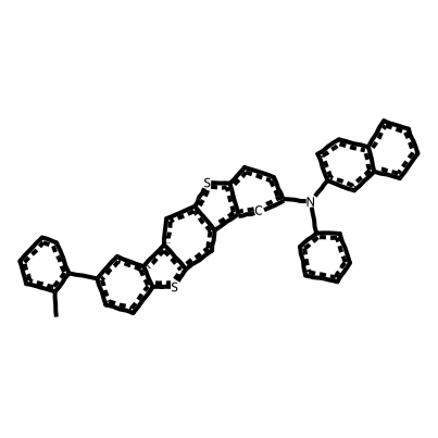 Cc1ccccc1-c1ccc2sc3cc4c(cc3c2c1)sc1ccc(N(c2ccccc2)c2ccc3ccccc3c2)cc14